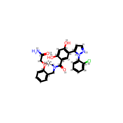 CN(Cc1ccccc1OCC(N)=O)C(=O)c1cc(-c2ccnn2-c2ccccc2Cl)c(O)cc1O